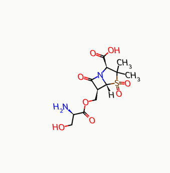 CC1(C)[C@H](C(=O)O)N2C(=O)[C@H](COC(=O)[C@H](N)CO)[C@H]2S1(=O)=O